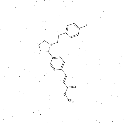 COC(=O)/C=C/c1ccc(C2CCCN2CCc2ccc(F)cc2)cc1